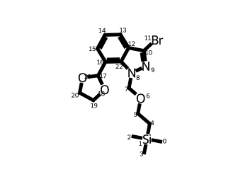 C[Si](C)(C)CCOCn1nc(Br)c2cccc(C3OCCO3)c21